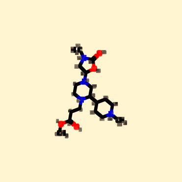 COC(=O)CCN1CCN(C2CN(C)C(=O)O2)CC1C1CCN(C)CC1